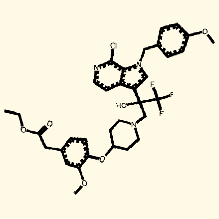 CCOC(=O)Cc1ccc(OC2CCN(CC(O)(c3cn(Cc4ccc(OC)cc4)c4c(Cl)nccc34)C(F)(F)F)CC2)c(OC)c1